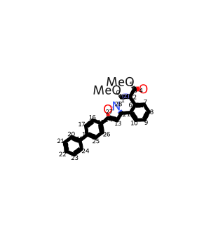 CO/C=C(\C(=O)OC)c1ccccc1-c1cc(-c2ccc(-c3ccccc3)cc2)on1